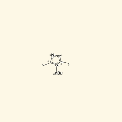 CCCCn1c(C)cnc1C